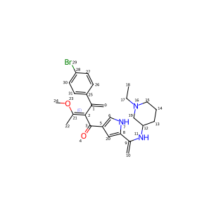 C=C(/C(C(=O)c1c[nH]c(C(=C)NC2CCCN(CC)C2)c1)=C(/C)OC)c1ccc(Br)cc1